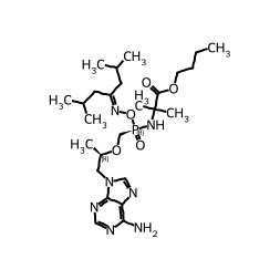 CCCCOC(=O)C(C)(C)N[P@@](=O)(CO[C@H](C)Cn1cnc2c(N)ncnc21)ON=C(CC(C)C)CC(C)C